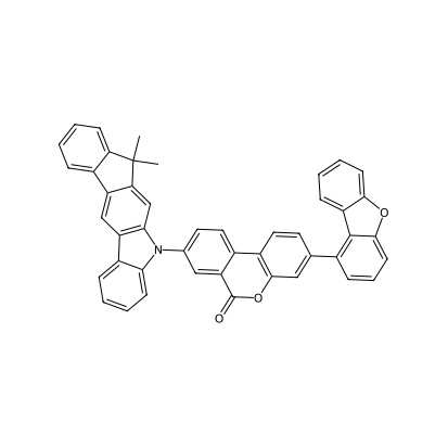 CC1(C)c2ccccc2-c2cc3c4ccccc4n(-c4ccc5c(c4)c(=O)oc4cc(-c6cccc7oc8ccccc8c67)ccc45)c3cc21